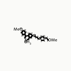 COCCN1CCN(CCCOc2ccc3c(c2)CN(C)CC3c2ccc(OC)cc2)CC1